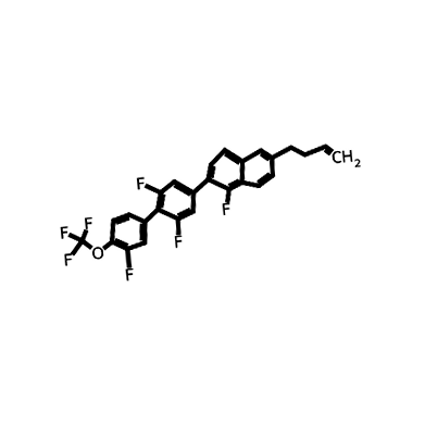 C=CCCc1ccc2c(F)c(-c3cc(F)c(-c4ccc(OC(F)(F)F)c(F)c4)c(F)c3)ccc2c1